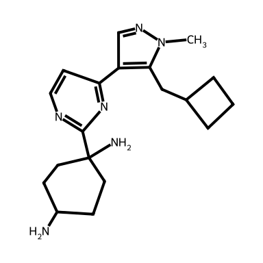 Cn1ncc(-c2ccnc(C3(N)CCC(N)CC3)n2)c1CC1CCC1